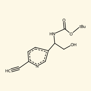 C#Cc1ccc(C(CO)NC(=O)OC(C)(C)C)cn1